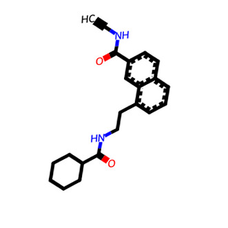 C#CNC(=O)c1ccc2cccc(CCNC(=O)C3CCCCC3)c2c1